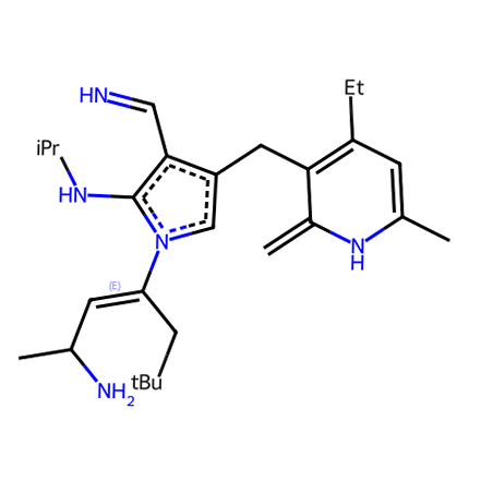 C=C1NC(C)=CC(CC)=C1Cc1cn(/C(=C/C(C)N)CC(C)(C)C)c(NC(C)C)c1C=N